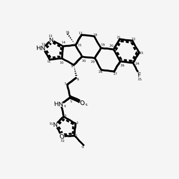 Cc1cc(NC(=O)CC[C@@H]2c3c[nH]nc3[C@@]3(C)CCC4c5cccc(F)c5CCC4C23)no1